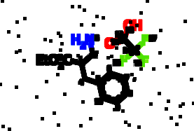 CCOC(=O)[C@@H](CN)Cc1ccccc1.O=C(O)C(F)(F)F